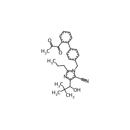 CCCc1nc(C(O)C(C)(C)C)c(C#N)n1Cc1ccc(-c2ccccc2C(=O)C(C)=O)cc1